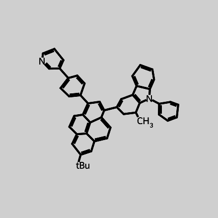 CC1CC(c2cc(-c3ccc(-c4cccnc4)cc3)c3ccc4cc(C(C)(C)C)cc5ccc2c3c54)=Cc2c1n(-c1ccccc1)c1ccccc21